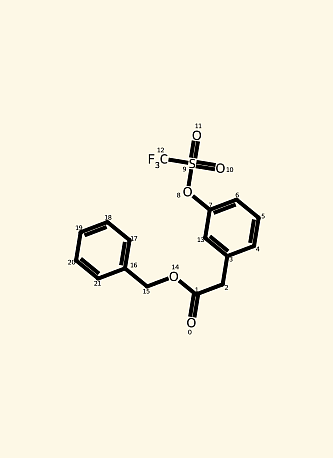 O=C(Cc1cccc(OS(=O)(=O)C(F)(F)F)c1)OCc1ccccc1